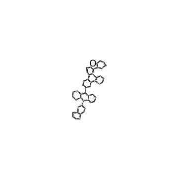 c1ccc2cc(-c3c4ccccc4c(-c4ccc5c(c4)c4ccccc4c4c5ccc5oc6ccccc6c54)c4ccccc34)ccc2c1